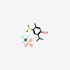 Cc1cc(O)c(C(C)C)cc1[S+](C)C.O=S(=O)([O-])C(F)(F)F